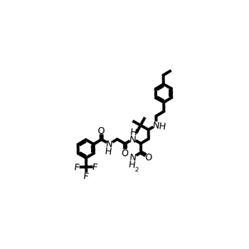 CCc1ccc(CCNC(CC(NC(=O)CNC(=O)c2cccc(C(F)(F)F)c2)C(N)=O)C(C)(C)C)cc1